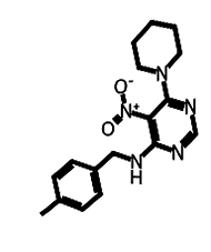 Cc1ccc(CNc2ncnc(N3CCCCC3)c2[N+](=O)[O-])cc1